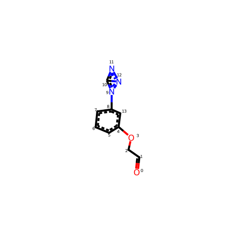 O=CCOc1cccc(-n2c3nn2-3)c1